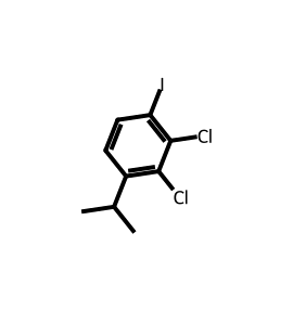 CC(C)c1ccc(I)c(Cl)c1Cl